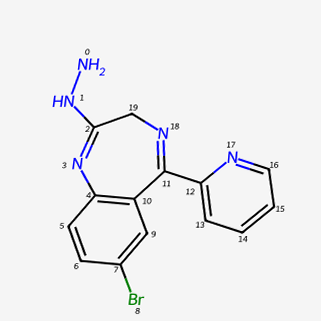 NNC1=Nc2ccc(Br)cc2C(c2ccccn2)=NC1